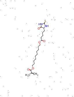 C=C(C)C(=O)OCCCCCCCCCCOC(=O)CCCCC1NC(=S)NC1=O